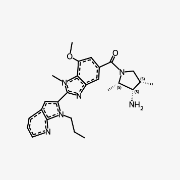 CCCn1c(-c2nc3cc(C(=O)N4C[C@H](C)[C@H](N)[C@@H]4C)cc(OC)c3n2C)cc2cccnc21